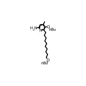 CCCCOCCCCCCCCCCc1nc(N)cc(C)c1OCCCC